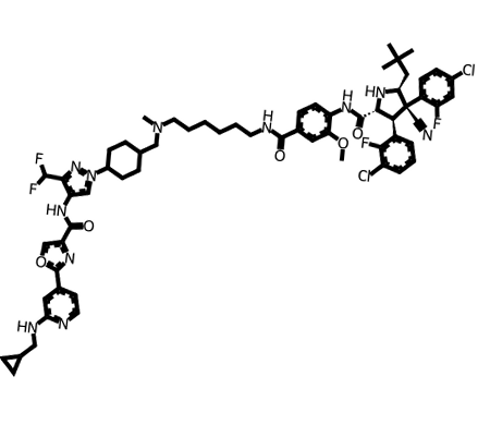 COc1cc(C(=O)NCCCCCCN(C)CC2CCC(n3cc(NC(=O)c4coc(-c5ccnc(NCC6CC6)c5)n4)c(C(F)F)n3)CC2)ccc1NC(=O)[C@@H]1N[C@@H](CC(C)(C)C)[C@](C#N)(c2ccc(Cl)cc2F)[C@H]1c1cccc(Cl)c1F